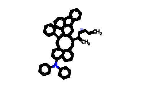 C=C/C=C\C(=C)c1cc2cccc3c(N(c4ccccc4)c4ccccc4)ccc(cc(-c4ccccc4)c4c1cc1c5ccccc5c5cccc4c51)c23